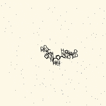 COC(=O)N[C@H](C(=O)N1CCC[C@H]1c1ncc(-c2ccc(-c3cnc([C@@H]4CCCN4C(=O)[C@@H](NC(=O)OC)C(C)C)[nH]3)cc2)[nH]1)C(C)C.Cl.Cl